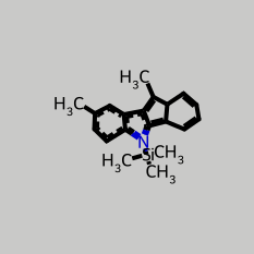 CC1=c2c(n([Si](C)(C)C)c3ccc(C)cc23)=C2C=CC=CC12